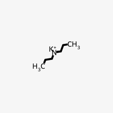 CCC[N-]CCC.[K+]